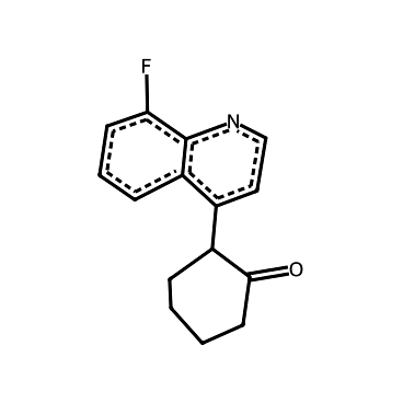 O=C1CCCCC1c1ccnc2c(F)cccc12